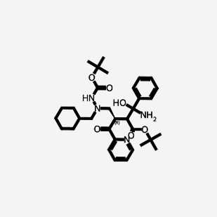 CC(C)(C)OC(=O)NN(CC1CCCCC1)C[C@H](C(=O)c1ccccn1)C(C(=O)OC(C)(C)C)C(N)(O)c1ccccc1